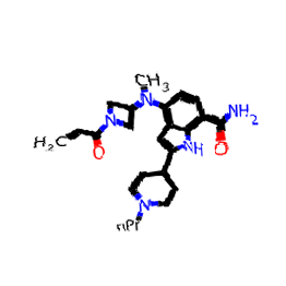 C=CC(=O)N1CC(N(C)c2ccc(C(N)=O)c3[nH]c(C4CCN(CCC)CC4)cc23)C1